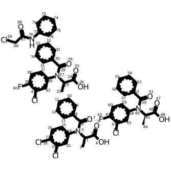 CC(C(=O)O)N(C(=O)c1ccccc1)c1ccc(Cl)c(Cl)c1.CC(C(=O)O)N(C(=O)c1ccccc1)c1ccc(F)c(Cl)c1.C[C@H](C(=O)O)N(C(=O)c1ccccc1)c1ccc(F)c(Cl)c1.O=C(CCl)Nc1ccccc1